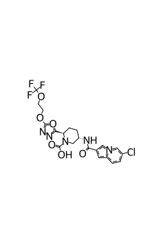 O=C(N[C@H]1CC[C@H](c2nnc(OCCOC(F)(F)F)o2)N(C(=O)O)C1)c1cc2ccc(Cl)cn2c1